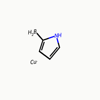 Bc1ccc[nH]1.[Cu]